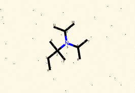 CCC(C)(C)N(C(C)C)C(C)C